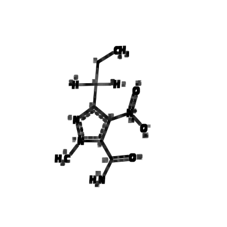 [2H]C([2H])(CC)c1nn(C)c(C(N)=O)c1[N+](=O)[O-]